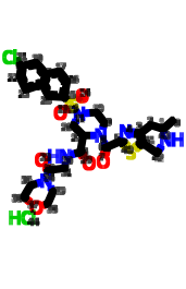 CC1Cc2nc(C(=O)N3CCN(S(=O)(=O)c4ccc5cc(Cl)ccc5c4)CC3C(=O)NCC(=O)N3CCOCC3)sc2CN1.Cl